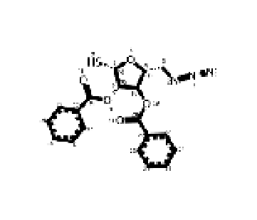 [N-]=[N+]=NC[C@H]1O[C@@H](S)[C@@H](OC(=O)c2ccccc2)C1OC(=O)c1ccccc1